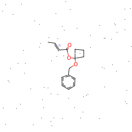 C/C=C/C(=O)OC1(OCc2ccccc2)CCC1